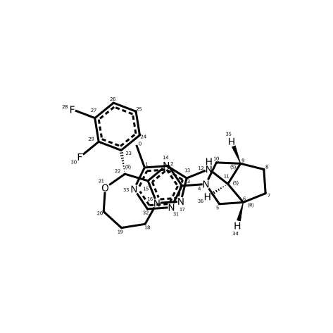 Cc1cc(N2C[C@H]3CC[C@@H](C2)[C@@H]3Nc2nc3n(n2)CCCO[C@@H]3c2cccc(F)c2F)ncn1